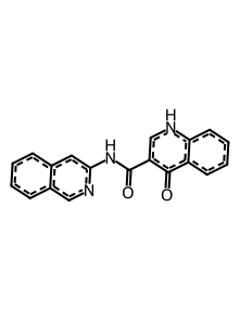 O=C(Nc1cc2ccccc2cn1)c1c[nH]c2ccccc2c1=O